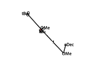 CCCCCCCCCCCCCCCCCC[C@H](C)[C@H](CCCCCCCCCCCCCCCC[C@H](C)C1C[C@H]1CCCCCCCCC=CCCCCCCCC[C@@H](O[Si](C)(C)C(C)(C)C)C(CCCCCCCCCCCCCCCCCCCCCCCCOC(=O)C(C)(C)C)C(=O)OC)OC